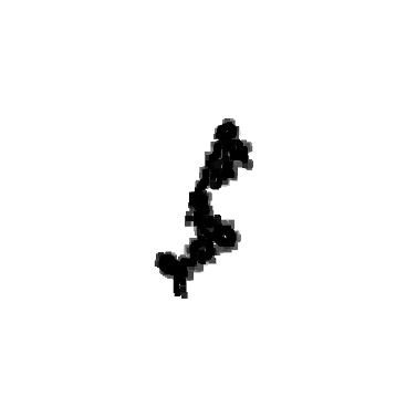 CC(C)(C)OC(=O)N(CCCN(C(=O)OC(C)(C)C)C1CCCCC1)CCCn1cc(CNc2nc(N3CCN(CCc4c[nH]c5ccccc45)CC3)c3ccccc3n2)nn1